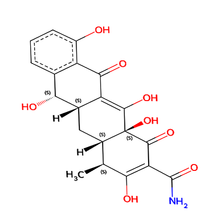 C[C@@H]1C(O)=C(C(N)=O)C(=O)[C@@]2(O)C(O)=C3C(=O)c4c(O)cccc4[C@@H](O)[C@H]3C[C@@H]12